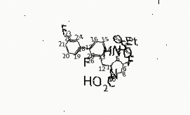 CCS(=O)(=O)N[C@H]1[C@@H](F)CN(C(=O)O)[C@H]1Cc1cccc(-c2cccc(F)c2)c1F